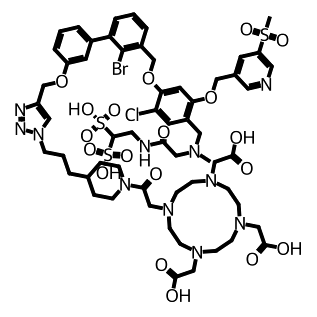 CN(CC(=O)NCC(S(=O)(=O)O)S(=O)(=O)O)Cc1cc(Cl)c(OCc2cccc(-c3cccc(OCc4cn(CCCC5CCN(C(=O)CN6CCN(CC(=O)O)CCN(CC(=O)O)CCN(CC(=O)O)CC6)CC5)nn4)c3)c2Br)cc1OCc1cncc(S(C)(=O)=O)c1